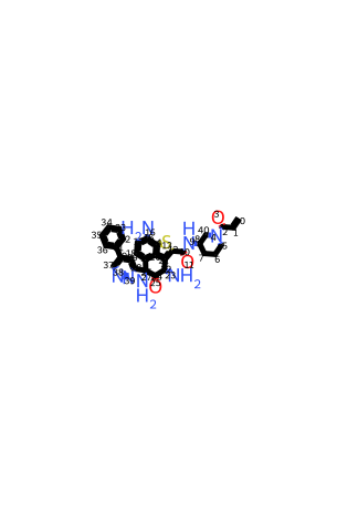 C=CC(=O)N1CCCC(NC(=O)c2sc3c(N)ccc4c3c2C(N)C(=O)C4(N)c2cc(-c3ccccc3)cnn2)C1